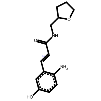 Nc1ccc(O)cc1/C=C/C(=O)NCC1CCCO1